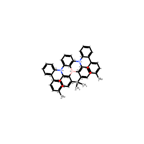 CC(C)(C)c1ccc(-c2ccccc2N2c3cccc4c3B3c5c2cccc5[Si](C)(C)c2cccc(c23)N4c2ccccc2-c2ccc(C(C)(C)C)cc2)cc1